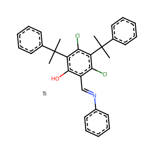 CC(C)(c1ccccc1)c1c(O)c(C=Nc2ccccc2)c(Cl)c(C(C)(C)c2ccccc2)c1Cl.[Ti]